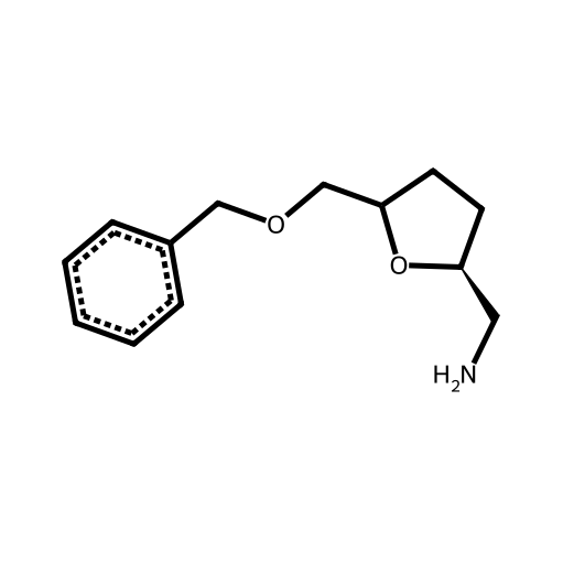 NC[C@@H]1CCC(COCc2ccccc2)O1